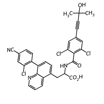 CC(C)(O)C#Cc1cc(Cl)c(C(=O)NC(Cc2ccc(-c3ccc(C#N)cc3Cl)c3ncccc23)C(=O)O)c(Cl)c1